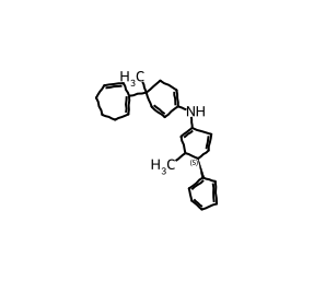 CC1C=C(NC2=CCC(C)(C3=CCCCC=C3)C=C2)C=C[C@H]1c1ccccc1